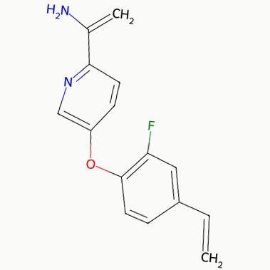 C=Cc1ccc(Oc2ccc(C(=C)N)nc2)c(F)c1